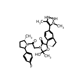 CC1=C(c2ccc3c(c2)CC[C@@]32OC(C)(O)N(CC(=O)N3C(c4ccc(F)cc4)CC[C@@H]3C)C2=O)N(C)NN1